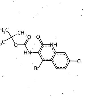 CC(C)(C)OC(=O)Nc1c(Br)c2ccc(Cl)cc2[nH]c1=O